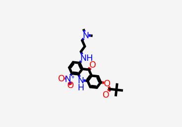 CN(C)CCCNc1ccc([N+](=O)[O-])c2[nH]c3ccc(OC(=O)C(C)(C)C)cc3c(=O)c12